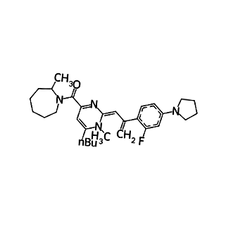 C=C(/C=C1/N=C(C(=O)N2CCCCCC2C)C=C(CCCC)N1C)c1ccc(N2CCCC2)cc1F